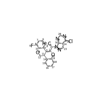 CC(C1=C(c2cccc(F)c2)C(C=O)c2ccccc2O1)n1ncc2c(Cl)ncnc21